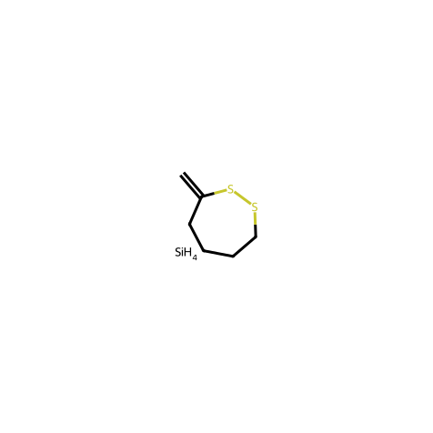 C=C1CCCCSS1.[SiH4]